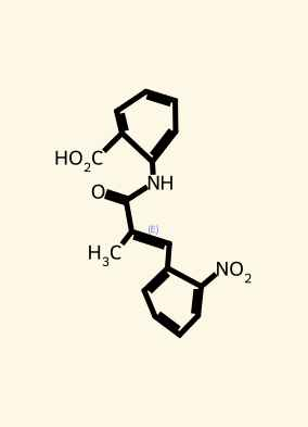 C/C(=C\c1ccccc1[N+](=O)[O-])C(=O)Nc1ccccc1C(=O)O